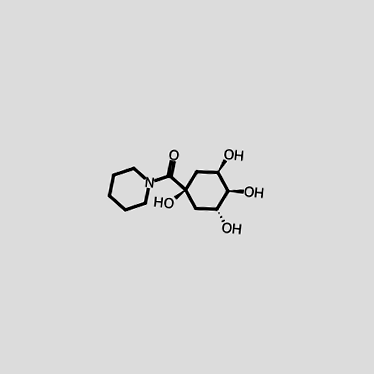 O=C(N1CCCCC1)[C@]1(O)C[C@@H](O)[C@@H](O)[C@H](O)C1